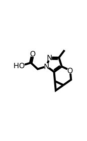 Cc1nn(CC(=O)O)c2c1OCC1CC21